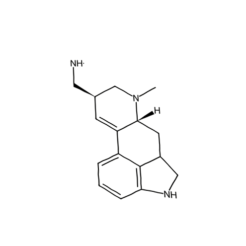 CN1C[C@H](C[NH])C=C2c3cccc4c3C(CN4)C[C@H]21